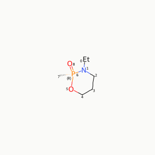 CCN1CCCO[P@@]1(C)=O